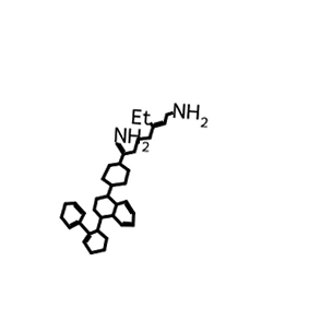 CC/C(=C\CN)CCC/C(=C\N)C1CCC(C2CCC(C3CCCC=C3C3=CCCC=C3)C3C=CC=CC32)CC1